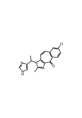 Cc1nc2c(=O)c3ccc(Cl)cc3ccc2n1C(C)c1c[nH]cn1